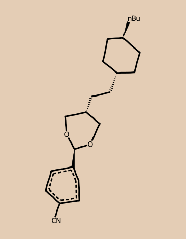 CCCC[C@H]1CC[C@H](CC[C@H]2CO[C@H](c3ccc(C#N)cc3)OC2)CC1